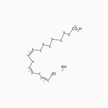 CC/C=C\C/C=C\C/C=C\CCCCCCCC(=O)O.[KH]